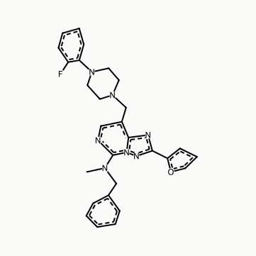 CN(Cc1ccccc1)c1ncc(CN2CCN(c3ccccc3F)CC2)c2nc(-c3ccco3)nn12